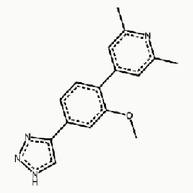 COc1cc(-c2c[nH]nn2)ccc1-c1cc(C)nc(C)c1